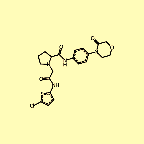 O=C(CN1CCCC1C(=O)Nc1ccc(N2CCOCC2=O)cc1)Nc1ccc(Cl)s1